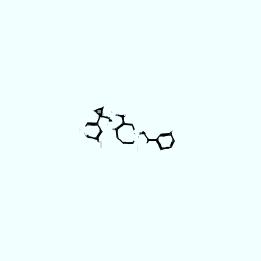 CC(C)c1cncc(C2(c3nc4c(c(=O)[nH]3)CN(C(=O)C(O)c3cccc(Br)c3)CCC4)CC2)c1